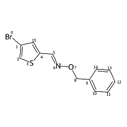 Brc1csc(C=NOCc2ccccc2)c1